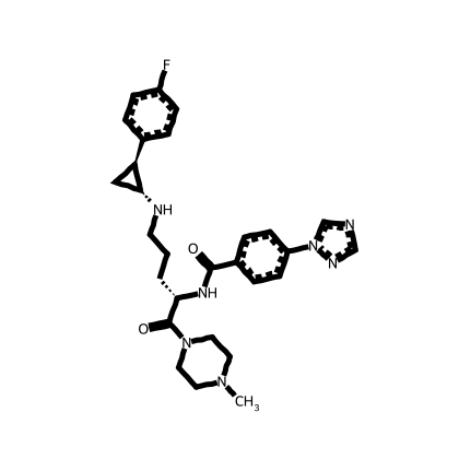 CN1CCN(C(=O)[C@H](CCCN[C@@H]2C[C@H]2c2ccc(F)cc2)NC(=O)c2ccc(-n3cncn3)cc2)CC1